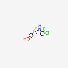 Oc1ccc(-c2csc(Nc3cccc(Cl)c3Cl)n2)cc1